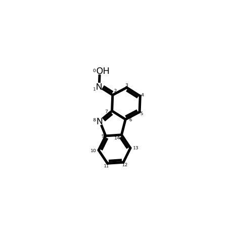 ON=C1C=CC=C2C1=Nc1ccccc12